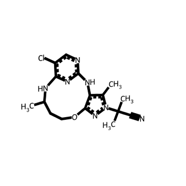 Cc1c2c(nn1C(C)(C)C#N)OCCC(C)Nc1nc(ncc1Cl)N2